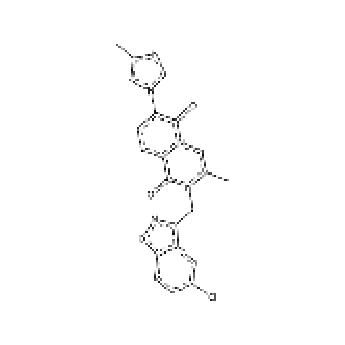 Cc1cn(-c2ccc3c(=O)n(Cc4noc5ccc(Cl)cc45)c(C)cn3c2=O)cn1